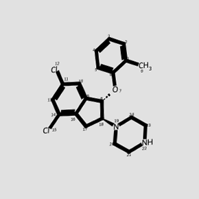 Cc1ccccc1O[C@H]1c2cc(Cl)cc(Cl)c2C[C@@H]1N1CCNCC1